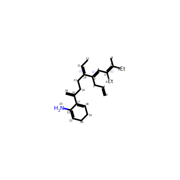 C=CCC(=C\C(CC)=C(/C)CC)/C(=C\C)CCC(=C)C1=CCCC=C1N